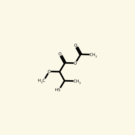 COC(C(=O)OC(C)=O)C(C)S